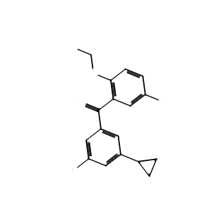 O=C(O)COc1ccc(Cl)cc1C(=O)c1cc(F)cc(C2CC2)c1